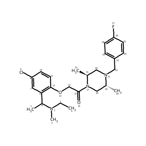 CCN(C)C(C)c1cc(Cl)ccc1OCC(=O)N1C[C@@H](C)N(Cc2ccc(F)cc2)C[C@@H]1C